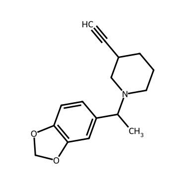 C#CC1CCCN(C(C)c2ccc3c(c2)OCO3)C1